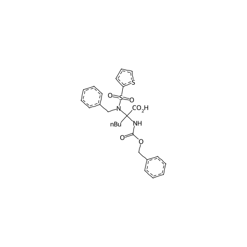 CCCCC(NC(=O)OCc1ccccc1)(C(=O)O)N(Cc1ccccc1)S(=O)(=O)c1cccs1